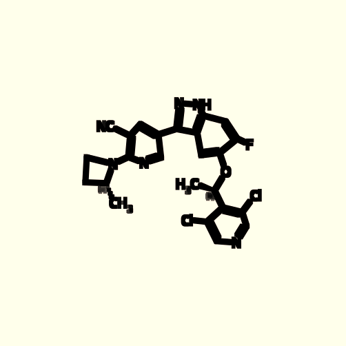 C[C@@H]1CCN1c1ncc(-c2n[nH]c3cc(F)c(O[C@H](C)c4c(Cl)cncc4Cl)cc23)cc1C#N